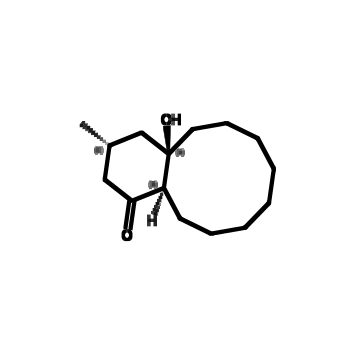 C[C@H]1CC(=O)[C@@H]2CCCCCCCC[C@@]2(O)C1